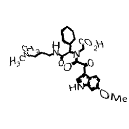 COc1ccc2c(C(=O)C(=O)N(CC(=O)O)C(C(=O)NCCCN(C)C)C3CCCCC3)c[nH]c2c1